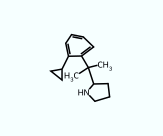 CC(C)(c1ccccc1C1CC1)C1CCCN1